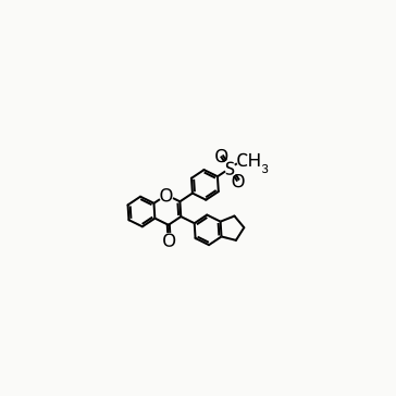 CS(=O)(=O)c1ccc(-c2oc3ccccc3c(=O)c2-c2ccc3c(c2)CCC3)cc1